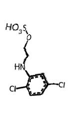 O=S(=O)(O)OCCNc1cc(Cl)ccc1Cl